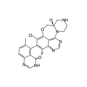 Cc1ccc2nc[nH]c(=O)c2c1-c1c(Cl)c2c3c(ncnc3c1F)N1CCNC[C@H]1CO2